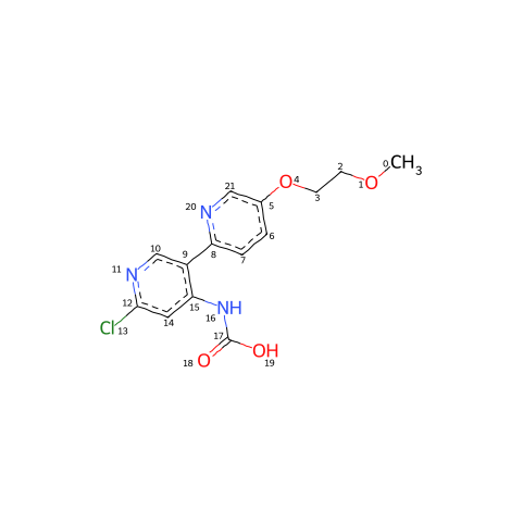 COCCOc1ccc(-c2cnc(Cl)cc2NC(=O)O)nc1